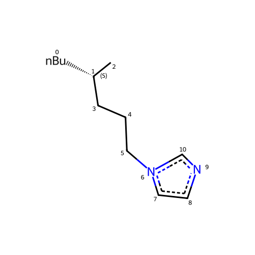 CCCC[C@H](C)CCCn1ccnc1